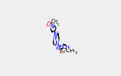 CC(=O)N1CCC(N2CCN(c3nc(Br)c4c(C)nccn34)CC2)CC1